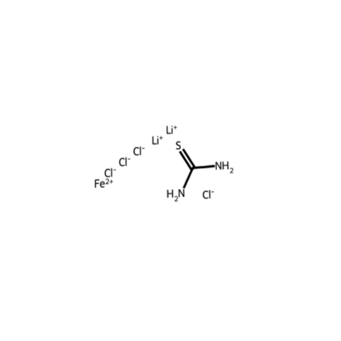 NC(N)=S.[Cl-].[Cl-].[Cl-].[Cl-].[Fe+2].[Li+].[Li+]